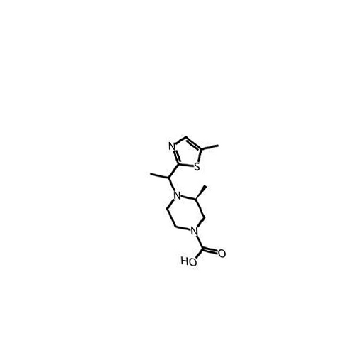 Cc1cnc(C(C)N2CCN(C(=O)O)C[C@@H]2C)s1